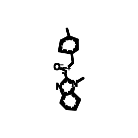 Cc1ccc(C[S+]([O-])c2nc3ccccc3n2C)cc1